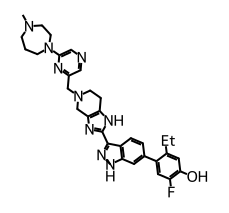 CCc1cc(O)c(F)cc1-c1ccc2c(-c3nc4c([nH]3)CCN(Cc3cncc(N5CCCN(C)CC5)n3)C4)n[nH]c2c1